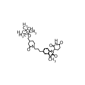 Cn1c(=O)n(C2CCC(=O)NC2=O)c2ccc(CCCN3CCC(CO[Si](C)(C)C(C)(C)C)CC3=O)cc21